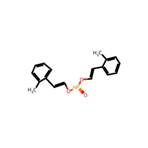 Cc1ccccc1C=CO[PH](=O)OC=Cc1ccccc1C